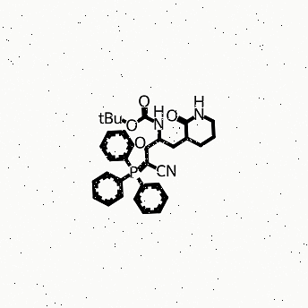 CC(C)(C)OC(=O)NC(CC1CCCNC1=O)C(=O)C(C#N)=P(c1ccccc1)(c1ccccc1)c1ccccc1